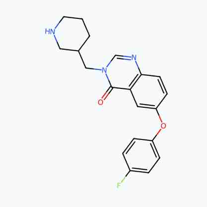 O=c1c2cc(Oc3ccc(F)cc3)ccc2ncn1CC1CCCNC1